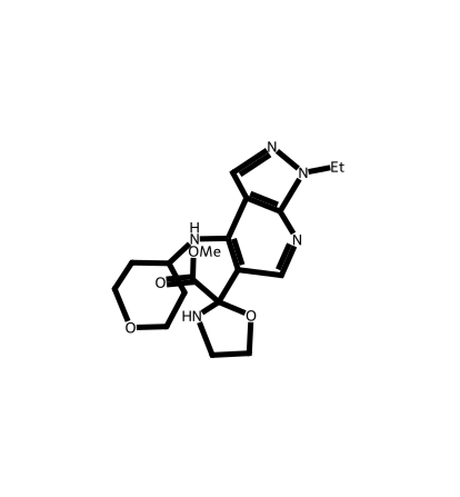 CCn1ncc2c(NC3CCOCC3)c(C3(C(=O)OC)NCCO3)cnc21